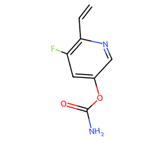 C=Cc1ncc(OC(N)=O)cc1F